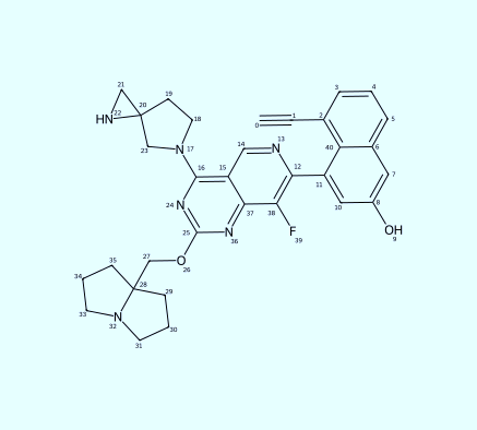 C#Cc1cccc2cc(O)cc(-c3ncc4c(N5CCC6(CN6)C5)nc(OCC56CCCN5CCC6)nc4c3F)c12